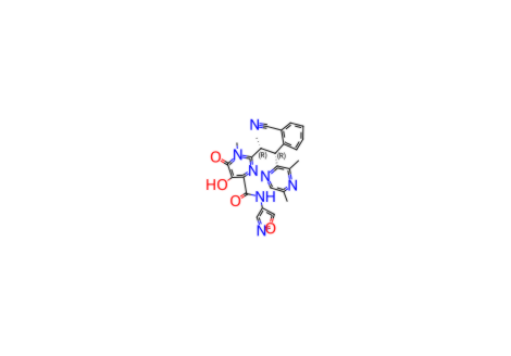 Cc1cnc([C@@H](c2ccccc2C#N)[C@@H](C)c2nc(C(=O)Nc3cnoc3)c(O)c(=O)n2C)c(C)n1